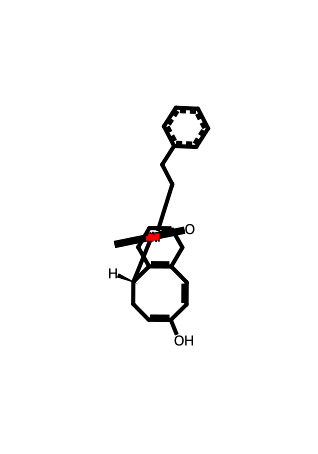 O=C1N(CCc2ccccc2)C=N[C@]12C1CCC3=C(/C=C\C(O)=C/C[C@@H]32)C1